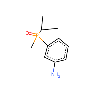 CC(C)P(C)(=O)c1cccc(N)c1